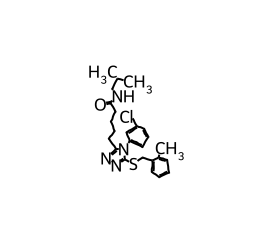 Cc1ccccc1CSc1nnc(CCCCC(=O)NCC(C)C)n1-c1cccc(Cl)c1